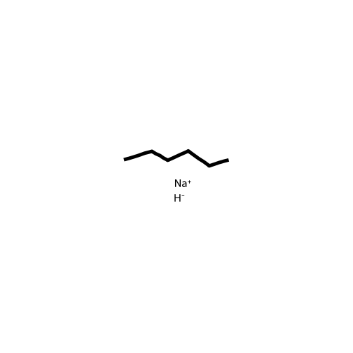 CCCCCC.[H-].[Na+]